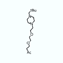 CC(=O)CCOCCOCCN1CCN(CC(C)(C)C)CC1